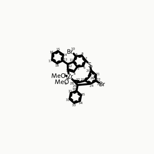 C[O][Zr]1([O]C)[C]2=Cc3cc(cc(Br)c3C2c2ccccc2)Sc2cc(Br)c3c(c2)C=[C]1C3c1ccccc1